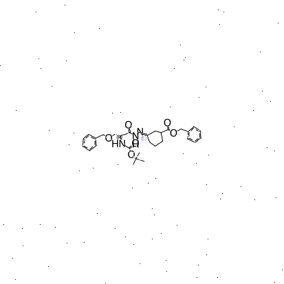 CC(C)(C)OC(=O)N[C@H](COCc1ccccc1)C(=O)N/N=C1\CCCC(C(=O)OCc2ccccc2)C1